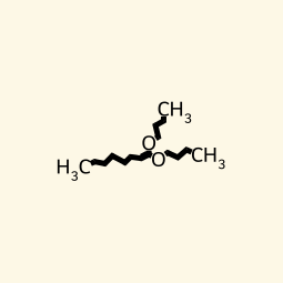 CCCCCCC=C(OCCCC)OCCCC